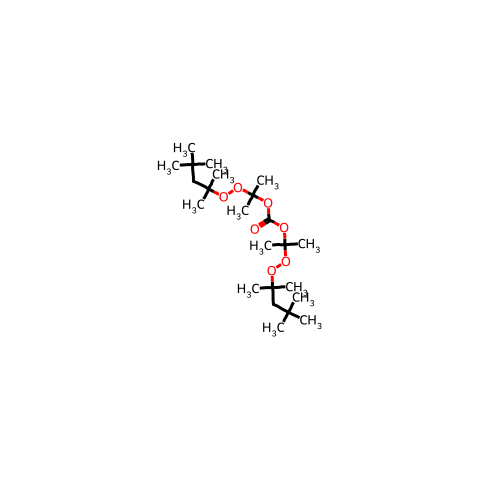 CC(C)(C)CC(C)(C)OOC(C)(C)OC(=O)OC(C)(C)OOC(C)(C)CC(C)(C)C